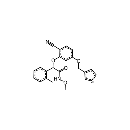 CONC(=O)C(Oc1cc(OCc2ccsc2)ccc1C#N)c1ccccc1C